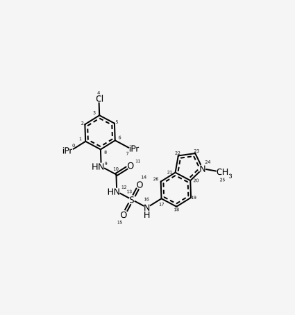 CC(C)c1cc(Cl)cc(C(C)C)c1NC(=O)NS(=O)(=O)Nc1ccc2c(ccn2C)c1